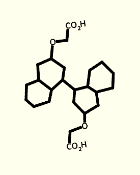 O=C(O)COC1CC2CCCCC2C(C2CC(OCC(=O)O)CC3CCCCC32)C1